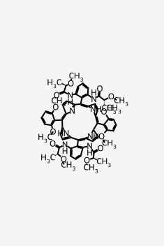 COc1cccc(OC)c1/C1=C2\C=CC(=N2)/C(c2c(NC(=O)[C@@H](C)OC)cccc2NC(=O)[C@@H](C)OC)=c2/cc/c([nH]2)=C(\c2c(OC)cccc2OC)C2C=C/C(=C(\c3c(NC(=O)[C@@H](C)OC)cccc3NC(=O)[C@@H](C)OC)c3ccc1[nH]3)N2